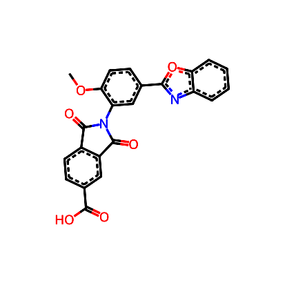 COc1ccc(-c2nc3ccccc3o2)cc1N1C(=O)c2ccc(C(=O)O)cc2C1=O